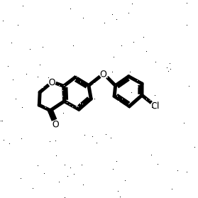 O=C1CCOc2cc(Oc3ccc(Cl)cc3)ccc21